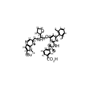 Cc1cccc(C)c1-c1cc(OCC(NCc2cnc3cc(C(C)(C)C)n(C)c3n2)C2CCCO2)nc(NS(=O)(=O)c2cccc(C(=O)O)c2)n1